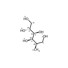 C[C@H](CO)[C@@H](O)[C@H](O)[C@H](O)CO